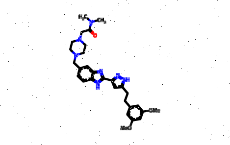 COc1cc(CCc2cc(-c3nc4cc(CN5CCN(CC(=O)N(C)C)CC5)ccc4[nH]3)n[nH]2)cc(OC)c1